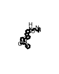 Cc1cc(CC(=O)Nc2ccc3sc4c(-c5cccn6c(=O)cc(N7CCCCC7)nc56)cccc4c3c2)ncn1